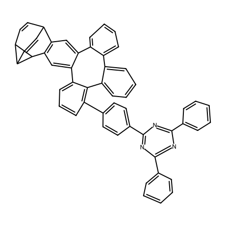 C1=CC2C3C=CC1c1cc4c(cc1C23)-c1cccc(-c2ccc(-c3nc(-c5ccccc5)nc(-c5ccccc5)n3)cc2)c1-c1ccccc1-c1ccccc1-4